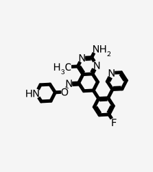 Cc1nc(N)nc2c1C(=NOC1CCNCC1)CC(c1ccc(F)cc1-c1cccnc1)C2